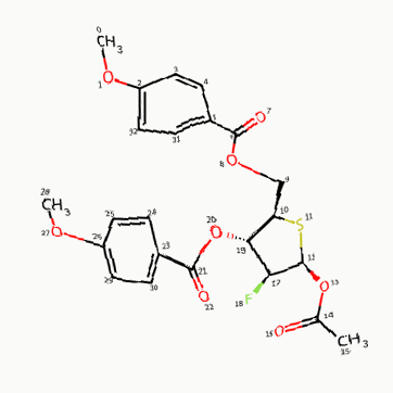 COc1ccc(C(=O)OC[C@H]2S[C@@H](OC(C)=O)[C@@H](F)[C@@H]2OC(=O)c2ccc(OC)cc2)cc1